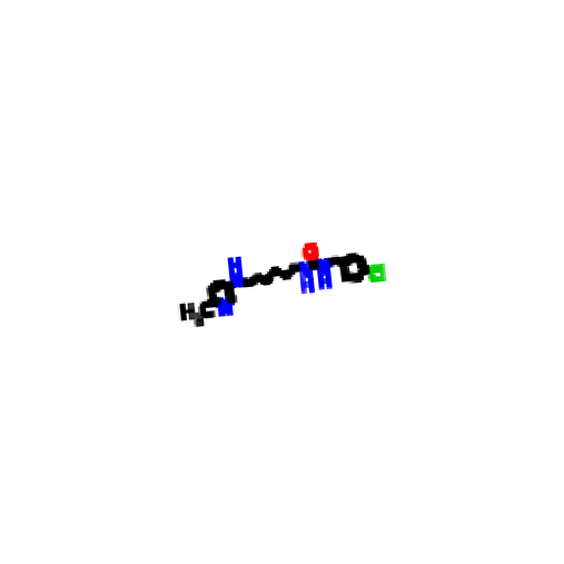 Cc1ccc(NCCCCCCNC(=O)NCc2ccc(Cl)cc2)cn1